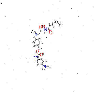 CC(=O)N(CCCN(O)C(=O)/C=C/C(=O)O)Cc1ccc(COC(=O)Nc2ccc(N(C)C)cc2)cc1